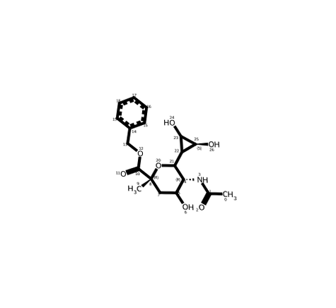 CC(=O)N[C@@H]1C(O)C[C@](C)(C(=O)OCc2ccccc2)OC1C1C(O)[C@H]1O